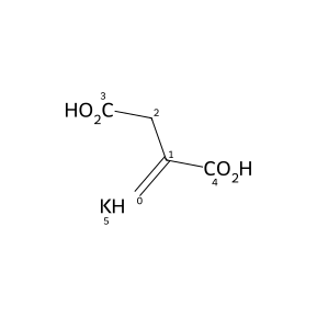 C=C(CC(=O)O)C(=O)O.[KH]